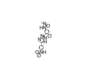 CCN(C)C(=O)Nc1ccc(Cl)c(-c2nc3ncc(-c4ccc(NC(=O)OC)cc4)cc3[nH]2)c1